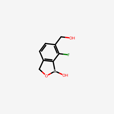 OCc1ccc2c(c1F)B(O)OC2